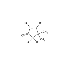 CC1(C)C(Br)=C(Br)C(=O)C1(Br)Br